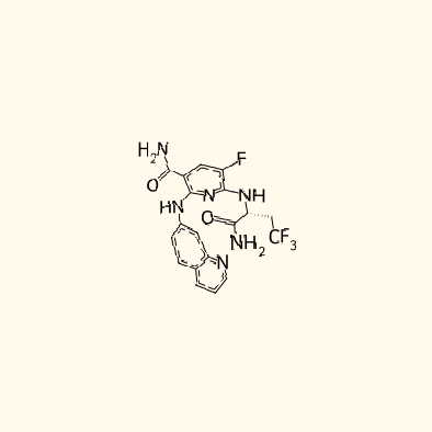 NC(=O)c1cc(F)c(N[C@H](CC(F)(F)F)C(N)=O)nc1Nc1ccc2cccnc2c1